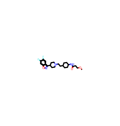 COCCC(=O)NC1CCC(CCN2CCC(c3noc4cc(F)c(F)cc34)CC2)CC1